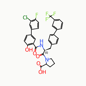 O=C(N[C@@H](Cc1ccc(-c2cccc(C(F)(F)F)c2)cc1)C(=O)N1CCCC1C(=O)O)c1cc(-c2ccc(F)c(Cl)c2)ccc1O